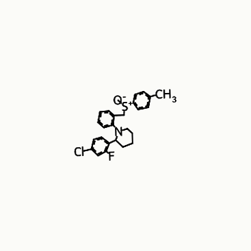 Cc1ccc([S+]([O-])Cc2ccccc2N2CCCCC2c2ccc(Cl)cc2F)cc1